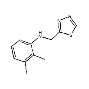 Cc1cccc(NCc2nncs2)c1C